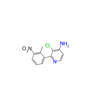 Cc1c(-c2nccc(N)c2Cl)cccc1[N+](=O)[O-]